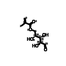 C=C(C)C(=O)OC[C@@H](O)[C@H](O)[C@H](O)C=O